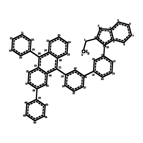 CCc1nc2ccccc2n1-c1cccc(-c2cccc(-c3c4ccccc4c(-c4ccccc4)c4ccc(-c5ccccc5)cc34)c2)c1